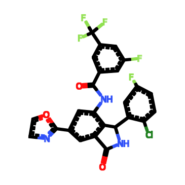 O=C(Nc1cc(-c2ncco2)cc2c1C(c1cc(F)ccc1Cl)NC2=O)c1cc(F)cc(C(F)(F)F)c1